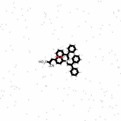 N#C/C(=C\c1ccc(N(C=C(c2ccccc2)c2ccccc2)C=C(c2ccccc2)c2ccccc2)cc1)C(=O)O